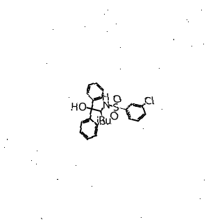 CC[C@H](C)[C@H](NS(=O)(=O)c1cccc(Cl)c1)C(O)(c1ccccc1)c1ccccc1